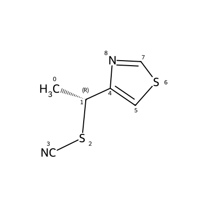 C[C@@H](SC#N)c1cscn1